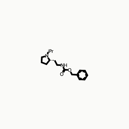 CC(C)N1CCC[C@H]1CCNC(=O)OCc1ccccc1